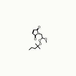 CCCC(C)(C)OOC(CN1C(=O)C=CC1=O)OC